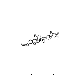 COc1ccc(CN2C(=O)CCc3c(OCC4(C(=O)O)CCN(c5cc(F)c(F)cc5F)CC4)ccc(F)c32)cc1